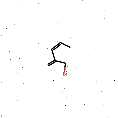 C=C(/C=C\C)CBr